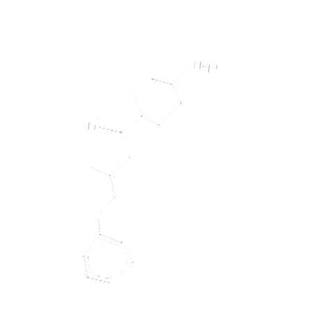 CCCCCCCC1CCC(C(CCC)CC(F)COc2ccccc2)CC1